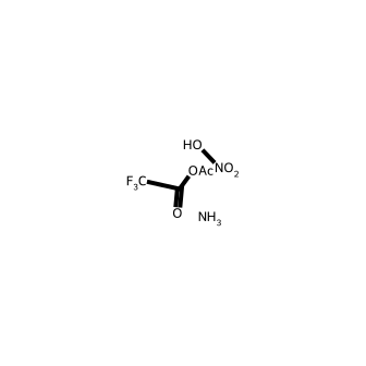 CC(=O)OC(=O)C(F)(F)F.N.O=[N+]([O-])O